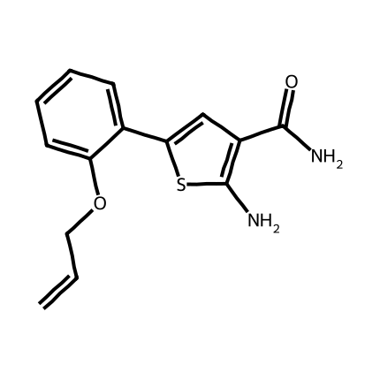 C=CCOc1ccccc1-c1cc(C(N)=O)c(N)s1